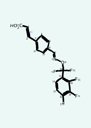 O=C(O)/C=C/c1ccc(C=NOC(F)(F)c2ccc(F)c(F)c2F)cc1